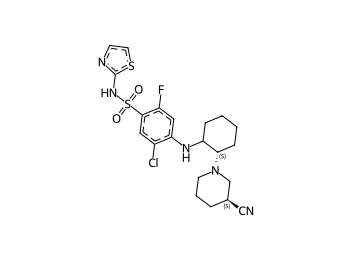 N#C[C@H]1CCCN([C@H]2CCCCC2Nc2cc(F)c(S(=O)(=O)Nc3nccs3)cc2Cl)C1